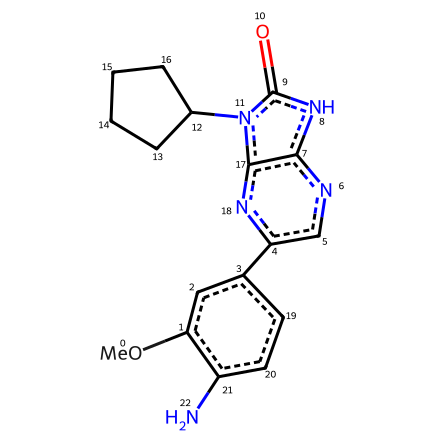 COc1cc(-c2cnc3[nH]c(=O)n(C4CCCC4)c3n2)ccc1N